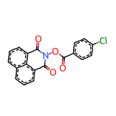 O=C(ON1C(=O)c2cccc3cccc(c23)C1=O)c1ccc(Cl)cc1